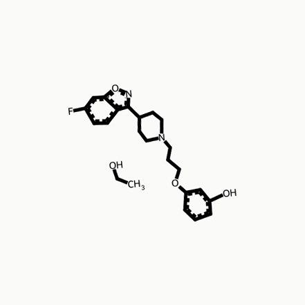 CCO.Oc1cccc(OCCCN2CCC(c3noc4cc(F)ccc34)CC2)c1